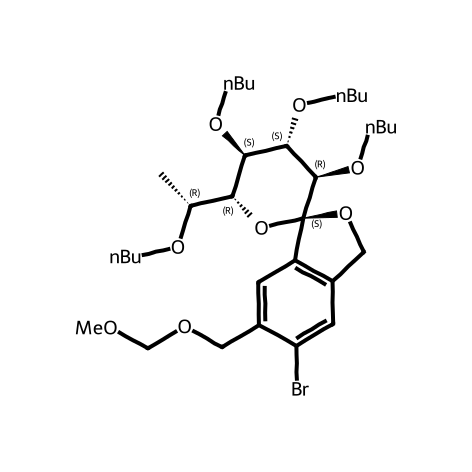 CCCCO[C@H]1[C@H](OCCCC)[C@@H](OCCCC)[C@@]2(OCc3cc(Br)c(COCOC)cc32)O[C@@H]1[C@@H](C)OCCCC